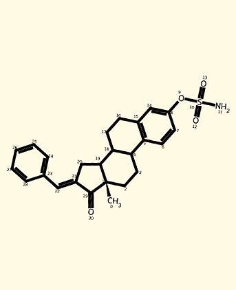 C[C@]12CCC3c4ccc(OS(N)(=O)=O)cc4CCC3C1C/C(=C\c1ccccc1)C2=O